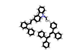 C(C=C(c1ccccc1)c1ccccc1)=C(c1ccccc1)c1ccccc1.CCn1c2ccccc2c2cc(/C=C/c3ccccc3-c3ccccc3)ccc21